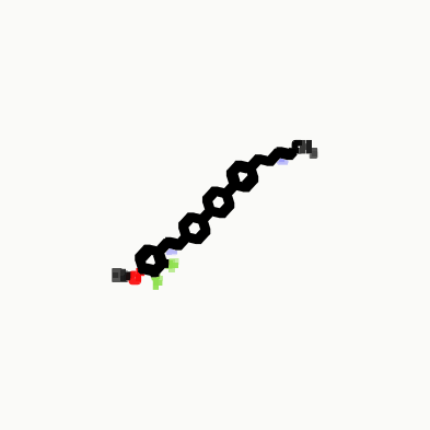 C/C=C/CCc1ccc(C2CCC(C3CCC(/C=C/c4ccc(OCC)c(F)c4F)CC3)CC2)cc1